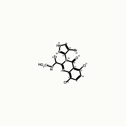 CCC(NC(=O)O)c1nc2c(Cl)ccc(Cl)c2c(=O)n1-c1n[nH]cc1Br